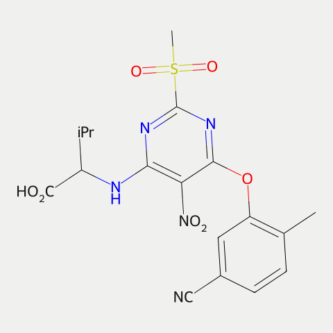 Cc1ccc(C#N)cc1Oc1nc(S(C)(=O)=O)nc(NC(C(=O)O)C(C)C)c1[N+](=O)[O-]